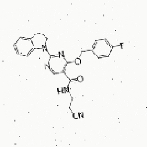 N#CCCNC(=O)c1cnc(N2CCc3ccccc32)nc1OCc1ccc(F)cc1